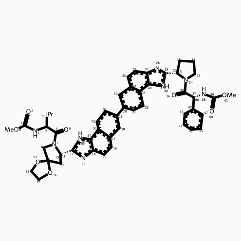 COC(=O)NC(C(=O)N1CC2(C[C@H]1c1nc3ccc4cc(-c5ccc6c(ccc7nc([C@@H]8CCCN8C(=O)[C@H](NC(=O)OC)c8ccccc8)[nH]c76)c5)ccc4c3[nH]1)OCCO2)C(C)C